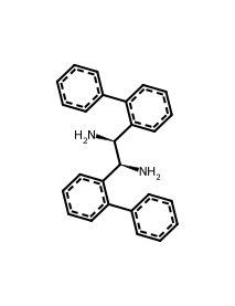 N[C@@H](c1ccccc1-c1ccccc1)[C@@H](N)c1ccccc1-c1ccccc1